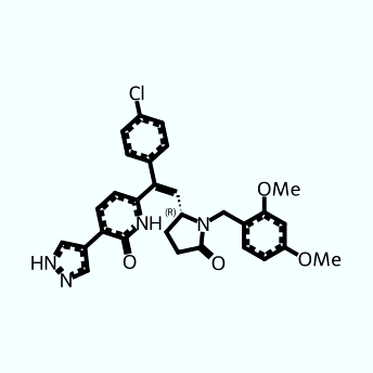 COc1ccc(CN2C(=O)CC[C@@H]2C=C(c2ccc(Cl)cc2)c2ccc(-c3cn[nH]c3)c(=O)[nH]2)c(OC)c1